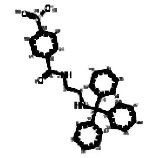 O=C(NCCNC(c1ccccc1)(c1ccccc1)c1ccccc1)c1ccc([N+](=O)[O-])cc1